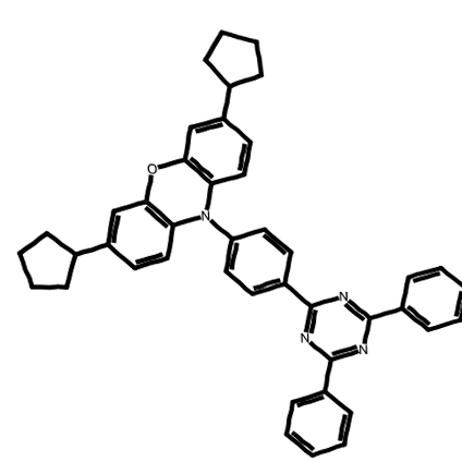 c1ccc(-c2nc(-c3ccccc3)nc(-c3ccc(N4c5ccc(C6CCCC6)cc5Oc5cc(C6CCCC6)ccc54)cc3)n2)cc1